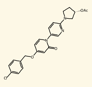 CC(=O)O[C@H]1CCN(c2ccc(-n3ccc(OCc4ccc(Cl)cc4)cc3=O)cn2)C1